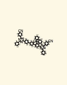 N#Cc1ccc(-c2nc(-c3ccccc3)nc(-c3ccc(-c4ccc5c(c4)OC(c4ccccc4)(c4ccccc4)c4cc(-c6nc(-c7ccccc7)nc(-c7ccc(C#N)cc7)n6)ccc4-5)cc3)n2)cc1